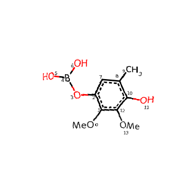 COc1c(OB(O)O)cc(C)c(O)c1OC